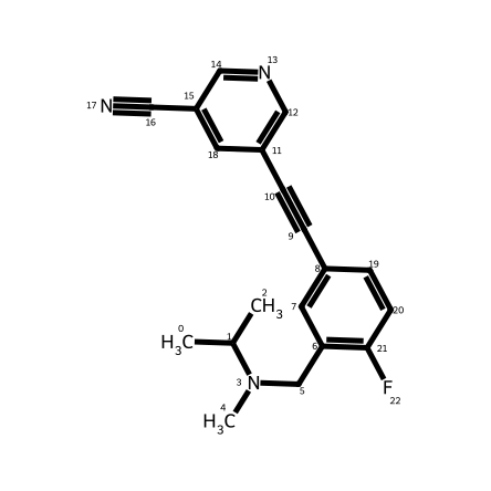 CC(C)N(C)Cc1cc(C#Cc2cncc(C#N)c2)ccc1F